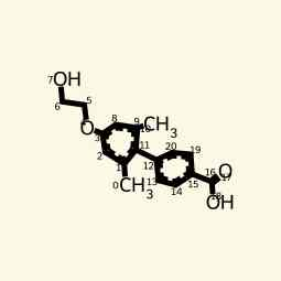 Cc1cc(OCCO)cc(C)c1-c1ccc(C(=O)O)cc1